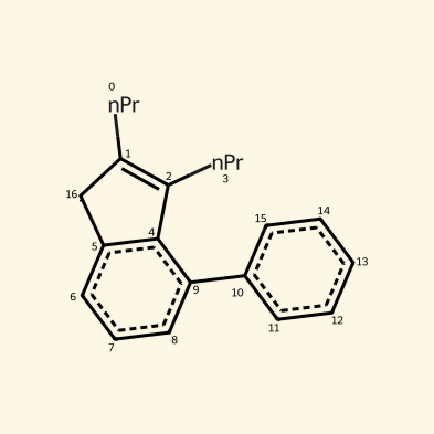 CCCC1=C(CCC)c2c(cccc2-c2ccccc2)[CH]1